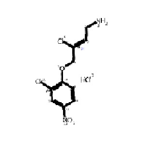 Cl.NC/C=C(\Cl)COc1ccc([N+](=O)[O-])cc1Cl